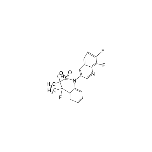 CC1(F)c2ccccc2N(c2cnc3c(F)c(F)ccc3c2)S(=O)(=O)C1(C)C